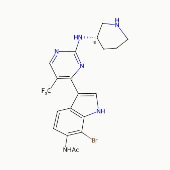 CC(=O)Nc1ccc2c(-c3nc(N[C@H]4CCCNC4)ncc3C(F)(F)F)c[nH]c2c1Br